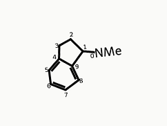 [CH2]NC1CCc2ccccc21